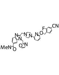 CNC(=O)c1ccc2nc(CN3CCN(c4cccc(OCc5ccc(C#N)cc5F)n4)CC3)n(Cc3ncco3)c2c1